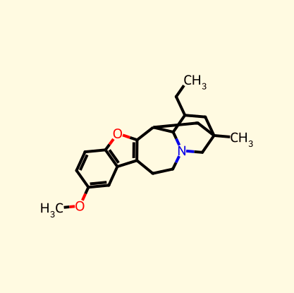 CCC1CC2(C)CC3c4oc5ccc(OC)cc5c4CCN(C2)C13